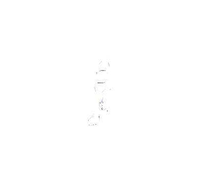 COc1ccccc1Oc1ccc(/C=N/[S+]([O-])c2ccc(C)cc2)cc1